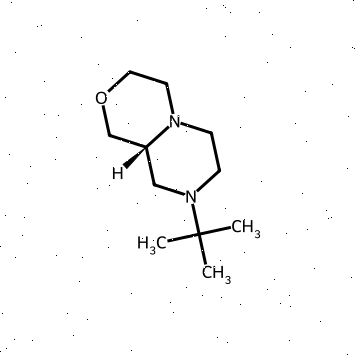 CC(C)(C)N1CCN2CCOC[C@H]2C1